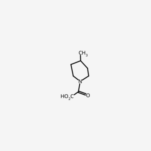 CC1CCN(C(=O)C(=O)O)CC1